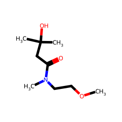 COCCN(C)C(=O)CC(C)(C)O